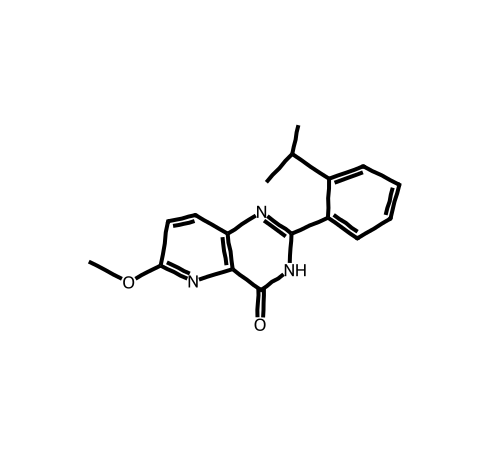 COc1ccc2nc(-c3ccccc3C(C)C)[nH]c(=O)c2n1